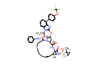 CC(C)n1c(O[C@@H]2C[C@H]3C(=O)N[C@]4(C(=O)NS(=O)(=O)C5(C)CC5)C[C@H]4/C=C\CCCCC[C@H](Nc4ccccc4)C(=O)N3C2)nc2c(-c3ccc(OC(F)(F)F)cc3)cccc21